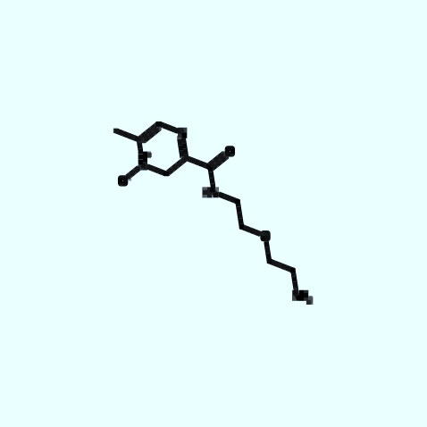 CC1=CN=C(C(=O)NCCOCCN)C[NH+]1[O-]